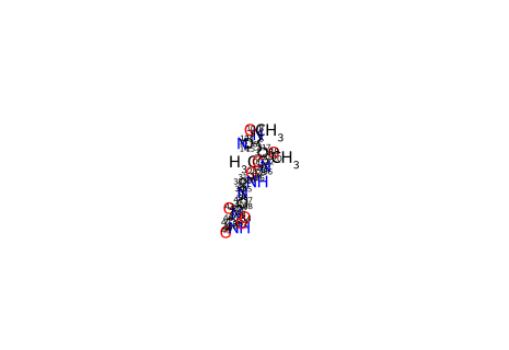 COc1cc(-c2cn(C)c(=O)c3cnccc23)cc(OC)c1CN1CC(CC(=O)NC2CCC23CN(c2ccc4c(c2)C(=O)N(C2CCC(=O)NC2=O)C4=O)C3)C1